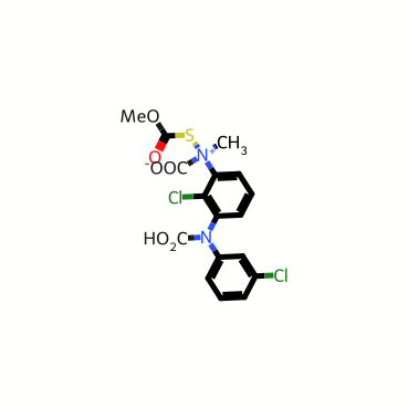 COC(=O)S[N+](C)(C(=O)[O-])c1cccc(N(C(=O)O)c2cccc(Cl)c2)c1Cl